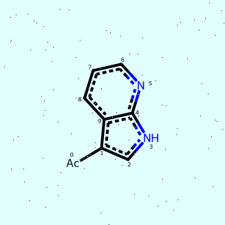 CC(=O)c1c[nH]c2ncccc12